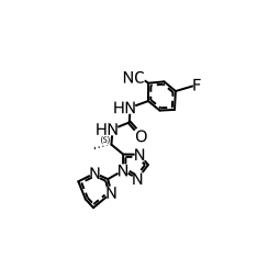 C[C@H](NC(=O)Nc1ccc(F)cc1C#N)c1ncnn1-c1ncccn1